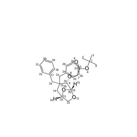 CC(C)(C)OC(=O)CO[C@@H]1[C@@H]2OC[C@H](CC1(Cc1ccccc1)Cc1ccccc1)O2